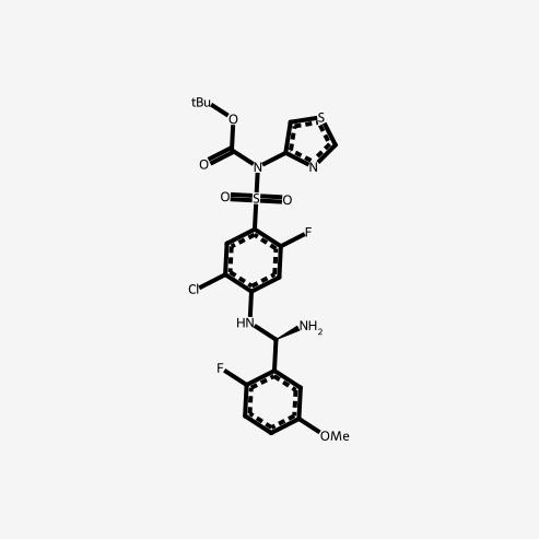 COc1ccc(F)c([C@H](N)Nc2cc(F)c(S(=O)(=O)N(C(=O)OC(C)(C)C)c3cscn3)cc2Cl)c1